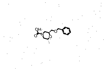 C[C@@H]1CN(C(=O)O)C[C@@H](COCc2ccccc2)O1